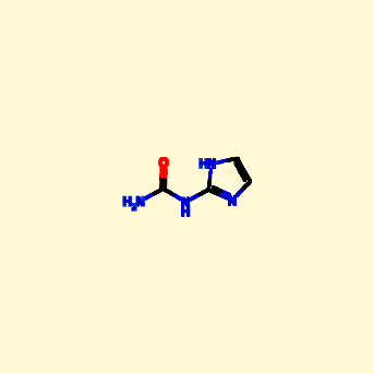 NC(=O)Nc1ncc[nH]1